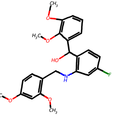 COc1ccc(CNc2cc(F)ccc2C(O)c2cccc(OC)c2OC)c(OC)c1